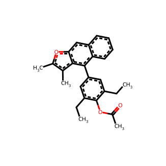 CCc1cc(-c2c3ccccc3cc3oc(C)c(C)c23)cc(CC)c1OC(C)=O